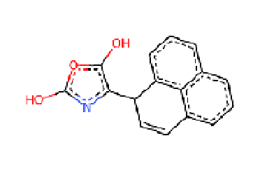 Oc1nc(C2C=Cc3cccc4cccc2c34)c(O)o1